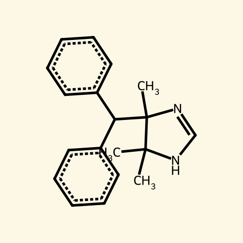 CC1(C)NC=NC1(C)C(c1ccccc1)c1ccccc1